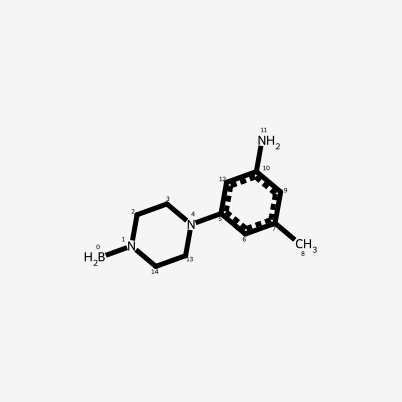 BN1CCN(c2cc(C)cc(N)c2)CC1